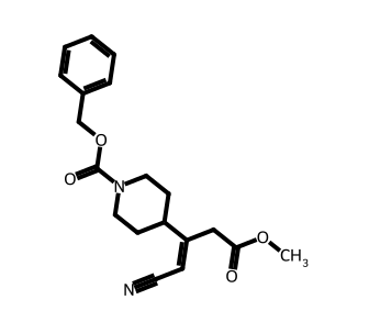 COC(=O)C/C(=C/C#N)C1CCN(C(=O)OCc2ccccc2)CC1